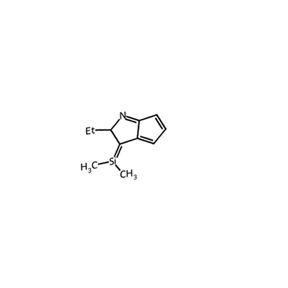 CCC1N=C2C=CC=C2C1=[Si](C)C